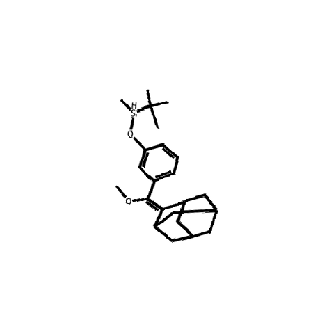 COC(=C1C2CC3CC(C2)CC1C3)c1cccc(O[SiH](C)C(C)(C)C)c1